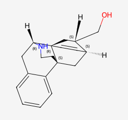 OC[C@H]1C[C@@]23C=C[C@@H]1C[C@@]21CCN[C@@H]3Cc2ccccc21